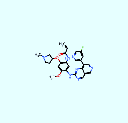 C=CC(=O)Nc1cc(Nc2ncc3cncc(-c4cncc(F)c4)c3n2)c(OC)cc1OC1CCN(C)C1